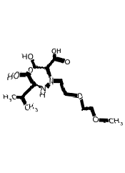 COCCOCCN(N[C@H](C(=O)O)C(C)C)[C@@H](CO)C(=O)O